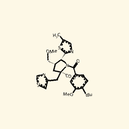 COC[C@H]1C[C@@](Cc2cscn2)(C(=O)O)N(C(=O)c2ccc(C(C)(C)C)c(OC)c2)[C@H]1c1ncc(C)s1